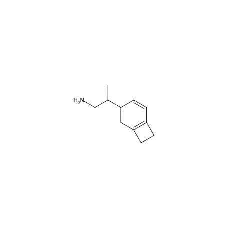 CC(CN)c1ccc2c(c1)CC2